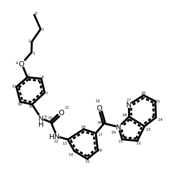 CCCCOc1ccc(NC(=O)Nc2cccc(C(=O)n3ccc4cccnc43)c2)cc1